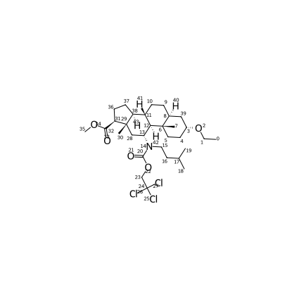 CCO[C@@H]1CC[C@@]2(C)[C@@H](CC[C@@H]3[C@@H]2[C@H](N(CCC(C)C)C(=O)OCC(Cl)(Cl)Cl)C[C@]2(C)[C@@H](C(=O)OC)CC[C@@H]32)C1